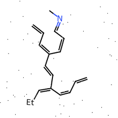 C=C/C=C\C(C=CC(/C=C\C=N\C)=C/C=C)=C/CC